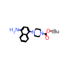 CC(C)(C)OC(=O)N1CCN(c2ccc(N)c3ccccc23)CC1